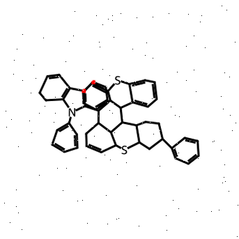 C1=CC2C3=C(CCC=C3)N(c3ccccc3)C2C(C2CC=CC3SC4CC(c5ccccc5)CCC4C(C4c5ccccc5Sc5ccccc54)C32)=C1